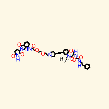 CN1C(=O)[C@@H](NC(=O)C(=O)NCCc2ccccc2)COc2ccc(C#CC3CCN(CCOCCOCC(=O)Nc4cccc5c4CN(C4CCC(=O)NC4=O)C5=O)CC3)cc21